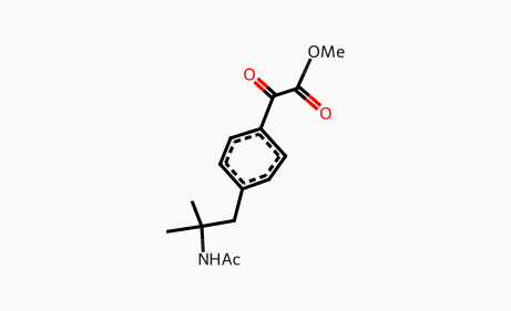 COC(=O)C(=O)c1ccc(CC(C)(C)NC(C)=O)cc1